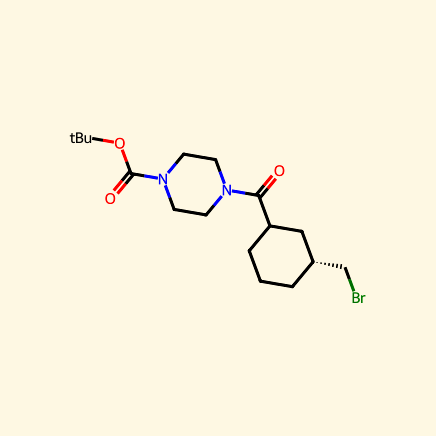 CC(C)(C)OC(=O)N1CCN(C(=O)C2CCC[C@@H](CBr)C2)CC1